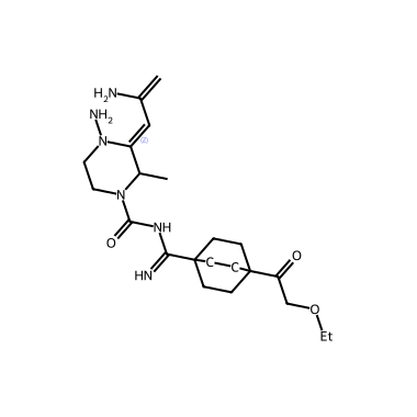 C=C(N)/C=C1/C(C)N(C(=O)NC(=N)C23CCC(C(=O)COCC)(CC2)CC3)CCN1N